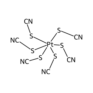 N#C[S][Pt]([S]C#N)([S]C#N)([S]C#N)([S]C#N)[S]C#N